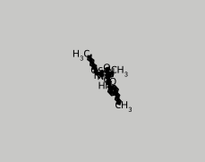 CCCCCCOc1nnc(N2C(=O)N(C)CC2OC(=O)Nc2ccc(CCCC)cc2)s1